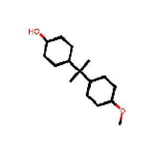 COC1CCC(C(C)(C)C2CCC(O)CC2)CC1